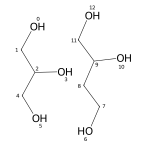 OCC(O)CO.OCCC(O)CO